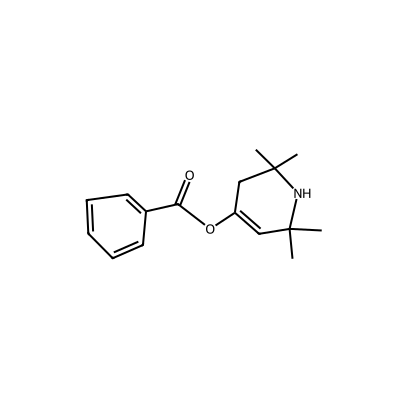 CC1(C)C=C(OC(=O)c2ccccc2)CC(C)(C)N1